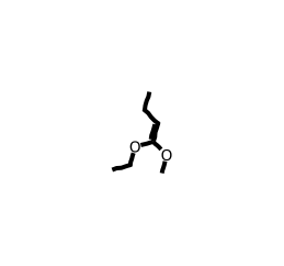 CC/C=C(/OC)OCC